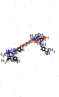 Cc1ncsc1-c1ccc(CNC(=O)[C@@H]2C[C@@H](O)CN2C(=O)C(NC(=O)COCCCOCCOc2cc(NC(=O)C[C@@H]3N=C(c4ccc(Cl)cc4)c4c(sc(C)c4C)-n4c(C)nnc43)ccc2F)C(C)(C)C)cc1